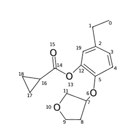 CCc1ccc(OC2CCOC2)c(OC(=O)C2CC2)c1